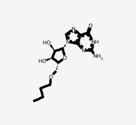 CCCCOC[C@H]1O[C@@H](n2cnc3c(=O)[nH]c(N)nc32)[C@H](O)[C@@H]1O